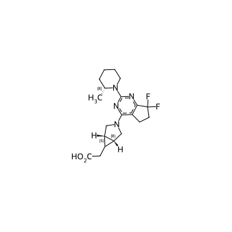 C[C@@H]1CCCCN1c1nc(N2C[C@@H]3C(CC(=O)O)[C@@H]3C2)c2c(n1)C(F)(F)CC2